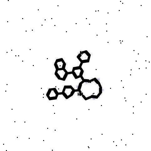 C1=C\C=C\CN/C(c2ccc(-c3ccccc3)cc2)=C\C(c2cc(-c3cccnc3)cc(-c3cccc4ccccc34)c2)=N\C=C/1